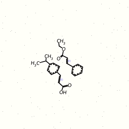 CC(C)c1ccc(/C=C/C(=O)O)cc1.CCOC(=O)/C=C/c1ccccc1